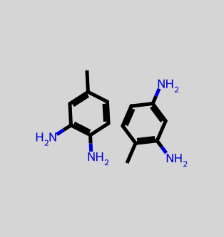 Cc1ccc(N)c(N)c1.Cc1ccc(N)cc1N